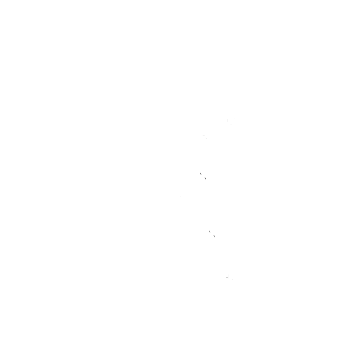 CC(C)(C)N1CCN2C(=O)c3ccccc3CC2C1